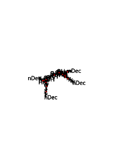 CCCCCCCCCCCCCCCCCCOC[C@@H](COP(=O)(O)OCCNC(=O)NCCOP(=O)(O)OC[C@H](COCCCCCCCCCCCCCCCCCC)NC(=O)CCCCCCCCCCCCC)NC(=O)CCCCCCCCCCCCC